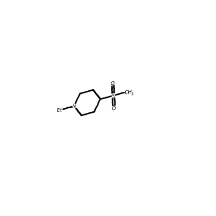 CCN1CCC(S(C)(=O)=O)CC1